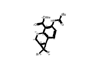 COC(=O)c1c(NC(=O)C(C)(C)C)ccc2c1OCC1C2C1(Br)Br